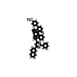 N#Cc1ccc(-c2ccc3c(c2)C2(c4ccccc4S3)c3ccccc3-c3ccc(-c4cc(-c5ccc6ccccc6c5)nc(-c5ccccc5)n4)cc32)cc1